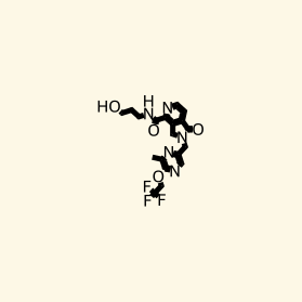 Cc1nc(CN2Cc3c(ccnc3C(=O)NCCCO)C2=O)cnc1OCC(F)(F)F